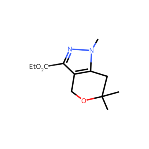 CCOC(=O)c1nn(C)c2c1COC(C)(C)C2